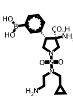 NCCN(CC1CC1)S(=O)(=O)N1C[C@H](c2cccc(B(O)O)c2)[C@](N)(C(=O)O)C1